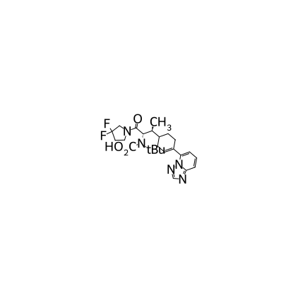 C[C@@H](C1CC=C(c2cccc3ncnn23)CC1)[C@@H](C(=O)N1CCC(F)(F)C1)N(C(=O)O)C(C)(C)C